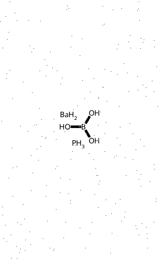 OB(O)O.P.[BaH2]